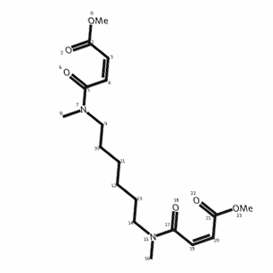 COC(=O)/C=C\C(=O)N(C)CCCCCCN(C)C(=O)/C=C\C(=O)OC